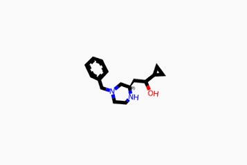 OC(C[C@@H]1CN(Cc2ccccc2)CCN1)C1CC1